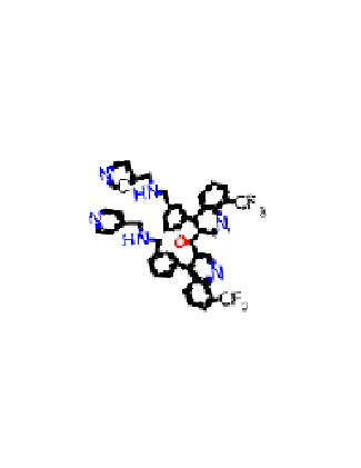 O=C(c1cnc2c(C(F)(F)F)cccc2c1-c1cccc(CNCc2ccncc2)c1)c1cnc2c(C(F)(F)F)cccc2c1-c1cccc(CNCc2ccncc2)c1